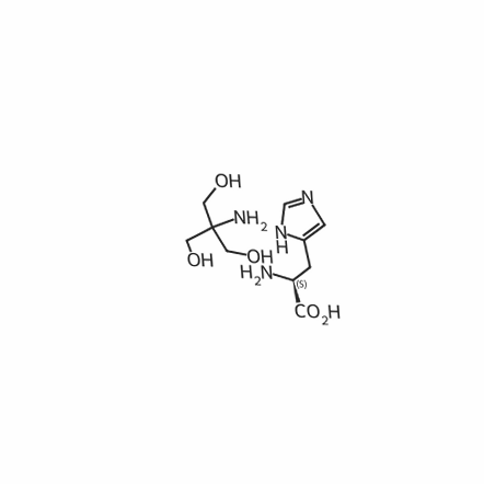 NC(CO)(CO)CO.N[C@@H](Cc1cnc[nH]1)C(=O)O